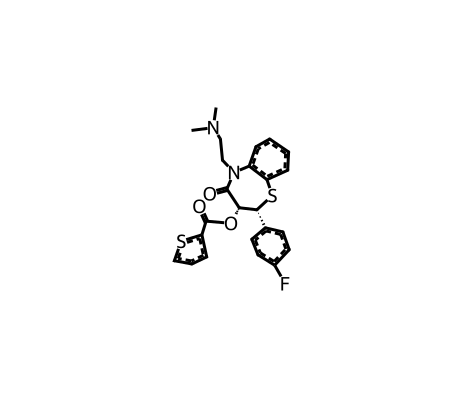 CN(C)CCN1C(=O)[C@@H](OC(=O)c2cccs2)[C@@H](c2ccc(F)cc2)Sc2ccccc21